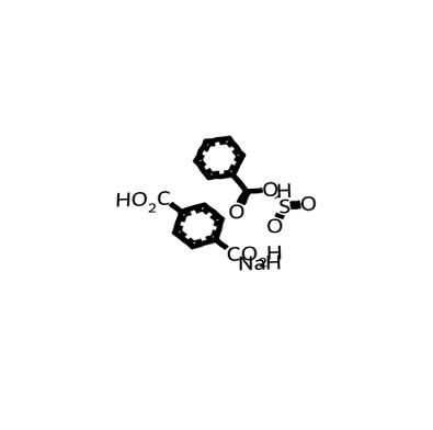 O=C(O)c1ccc(C(=O)O)cc1.O=C(O[SH](=O)=O)c1ccccc1.[NaH]